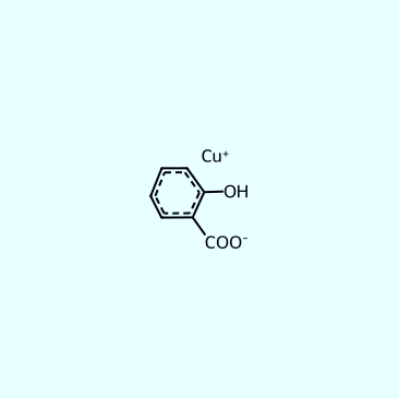 O=C([O-])c1ccccc1O.[Cu+]